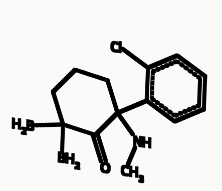 BC1(B)CCCC(NC)(c2ccccc2Cl)C1=O